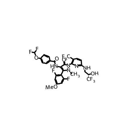 COc1cc(F)c(-c2c(NC(=O)c3ccc(OC(F)F)cc3)c(=O)n(-c3nc(NC[C@H](O)C(F)(F)F)ccc3C(F)(F)F)n2C)c(F)c1